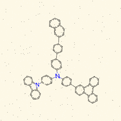 c1ccc2cc(-c3ccc(-c4ccc(N(c5ccc(-c6ccc7c8ccccc8c8ccccc8c7c6)cc5)c5ccc(-n6c7ccccc7c7ccccc76)cc5)cc4)cc3)ccc2c1